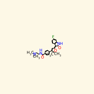 CN(C)CCNC(=O)c1ccc(C2=CC(=C3C(=O)Nc4cc(F)ccc43)OC2(C)C)cc1